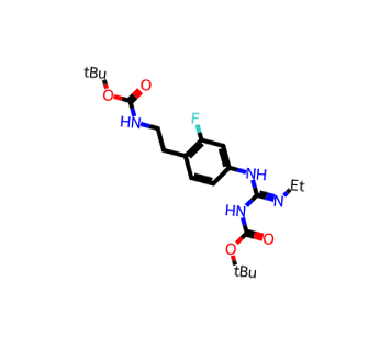 CC/N=C(/NC(=O)OC(C)(C)C)Nc1ccc(CCNC(=O)OC(C)(C)C)c(F)c1